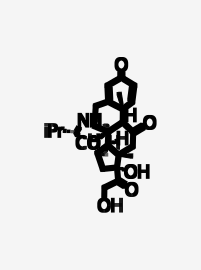 CC(C)[C@H](N)C(=O)O.C[C@]12C=CC(=O)C=C1CC[C@@H]1[C@@H]2C(=O)C[C@@]2(C)[C@H]1CC[C@]2(O)C(=O)CO